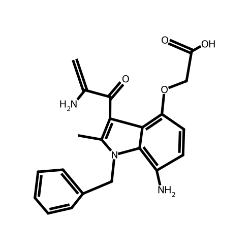 C=C(N)C(=O)c1c(C)n(Cc2ccccc2)c2c(N)ccc(OCC(=O)O)c12